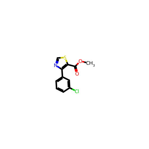 COC(=O)c1scnc1-c1cccc(Cl)c1